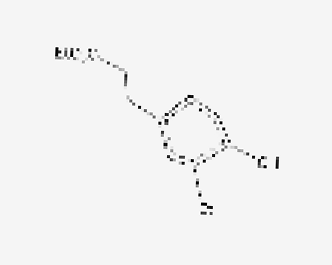 CCOC(=O)CCc1ccc(O)c(CC)c1